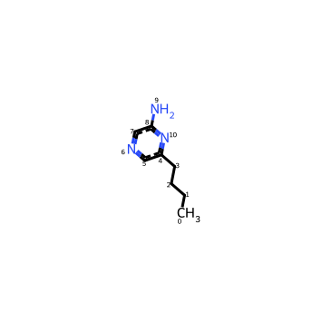 CCCCc1cncc(N)n1